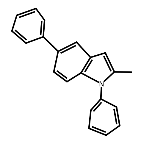 Cc1cc2cc(-c3ccccc3)ccc2n1-c1ccccc1